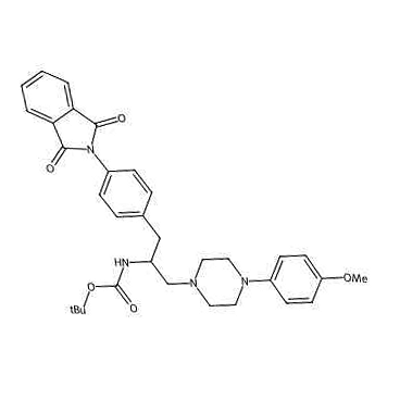 COc1ccc(N2CCN(CC(Cc3ccc(N4C(=O)c5ccccc5C4=O)cc3)NC(=O)OC(C)(C)C)CC2)cc1